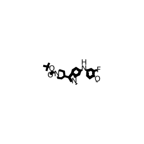 COc1ccc(Nc2ccc3c(C4CCN(C(=O)OC(C)(C)C)CC4)cn(C)c3c2)cc1F